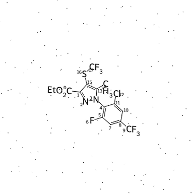 CCOC(=O)c1nn(-c2c(F)cc(C(F)(F)F)cc2Cl)c(C)c1SC(F)(F)F